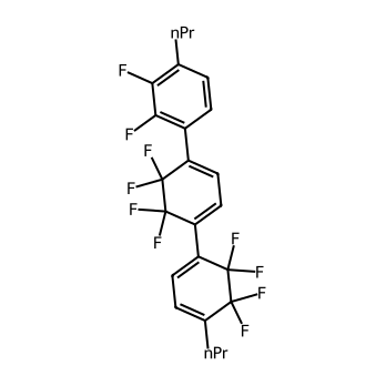 CCCC1=CC=C(C2=CC=C(c3ccc(CCC)c(F)c3F)C(F)(F)C2(F)F)C(F)(F)C1(F)F